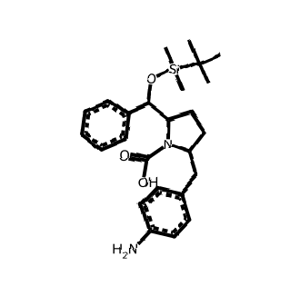 CC(C)(C)[Si](C)(C)OC(c1ccccc1)C1CCC(Cc2ccc(N)cc2)N1C(=O)O